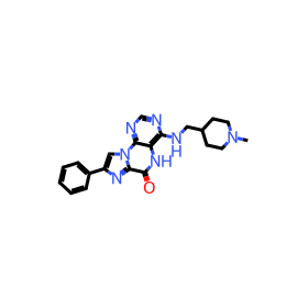 CN1CCC(CNc2ncnc3c2[nH]c(=O)c2nc(-c4ccccc4)cn23)CC1